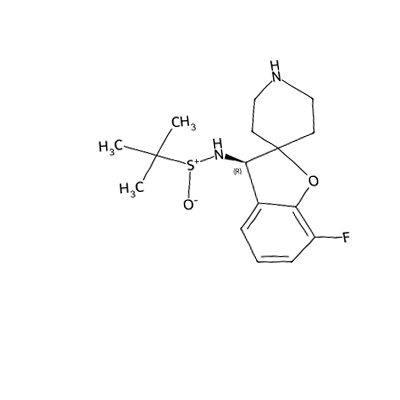 CC(C)(C)[S+]([O-])N[C@@H]1c2cccc(F)c2OC12CCNCC2